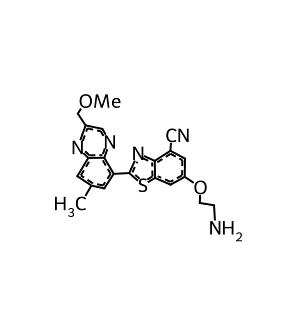 COCc1cnc2c(-c3nc4c(C#N)cc(OCCN)cc4s3)cc(C)cc2n1